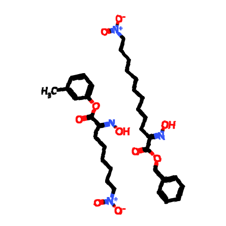 Cc1cccc(OC(=O)C(CCCCCC[N+](=O)[O-])=NO)c1.O=C(OCc1ccccc1)C(CCCCCCCCCC[N+](=O)[O-])=NO